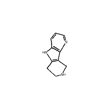 [c]1ccnc2c3c([nH]c12)CCNC3